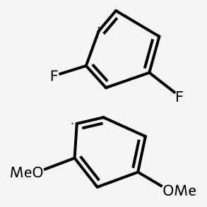 COc1[c]ccc(OC)c1.Fc1[c]ccc(F)c1